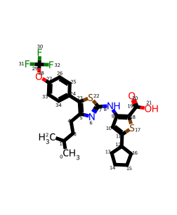 CC(C)CCc1nc(Nc2cc(C3CCCC3)sc2C(=O)O)sc1-c1ccc(OC(F)(F)F)cc1